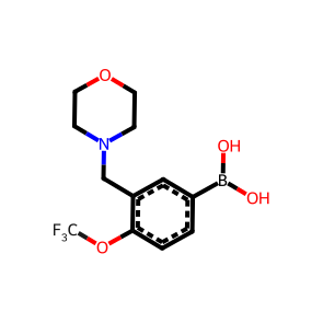 OB(O)c1ccc(OC(F)(F)F)c(CN2CCOCC2)c1